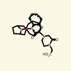 O=C(O)CN1CCN(c2nc3ccccc3n(C3CC4CCC(C3)N4C3CCCCCCC3)c2=O)CC1=O